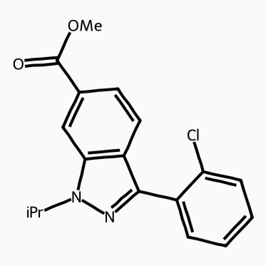 COC(=O)c1ccc2c(-c3ccccc3Cl)nn(C(C)C)c2c1